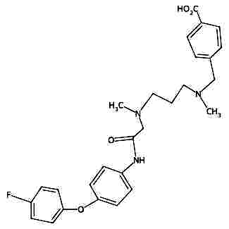 CN(CCCN(C)Cc1ccc(C(=O)O)cc1)CC(=O)Nc1ccc(Oc2ccc(F)cc2)cc1